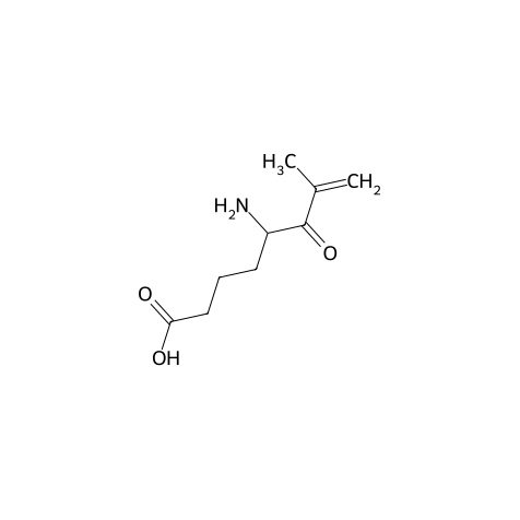 C=C(C)C(=O)C(N)CCCC(=O)O